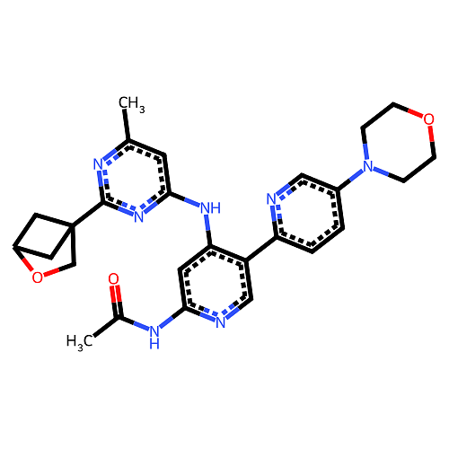 CC(=O)Nc1cc(Nc2cc(C)nc(C34COC(C3)C4)n2)c(-c2ccc(N3CCOCC3)cn2)cn1